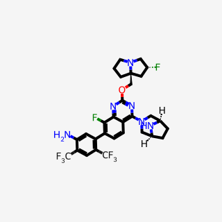 Nc1cc(-c2ccc3c(N4C[C@H]5CC[C@@H](C4)N5)nc(OC[C@@]45CCCN4C[C@H](F)C5)nc3c2F)c(C(F)(F)F)cc1C(F)(F)F